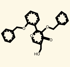 O=c1c(CO)coc(-c2ccccc2OCc2ccccc2)c1OCc1ccccc1